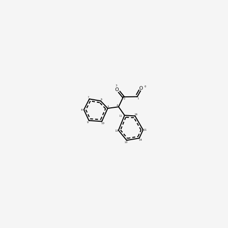 O=CC(=O)C(c1ccccc1)c1ccccc1